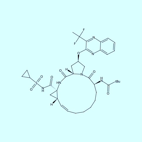 CC(C)(C)C(=O)N[C@H]1CCCCC/C=C\[C@@H]2C[C@@]2(C(=O)NS(=O)(=O)C2CC2)NC(=O)[C@@H]2C[C@@H](Oc3nc4ccccc4nc3C(C)(F)F)CN2C1=O